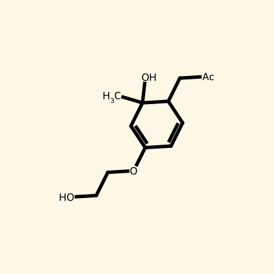 CC(=O)CC1C=CC(OCCO)=CC1(C)O